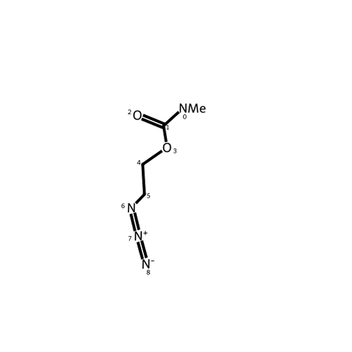 CNC(=O)OCCN=[N+]=[N-]